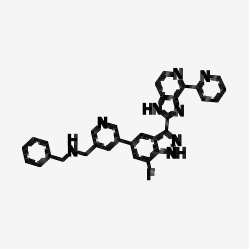 Fc1cc(-c2cncc(CNCc3ccccc3)c2)cc2c(-c3nc4c(-c5ccccn5)nccc4[nH]3)n[nH]c12